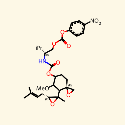 COC1C(OC(=O)N[C@@H](COC(=O)Oc2ccc([N+](=O)[O-])cc2)C(C)C)CC[C@]2(CO2)C1C1(C)O[C@@H]1CC=C(C)C